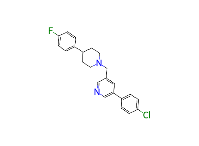 Fc1ccc(C2CCN(Cc3cncc(-c4ccc(Cl)cc4)c3)CC2)cc1